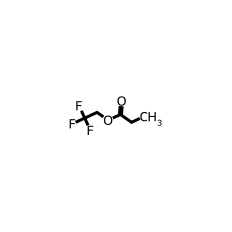 CCC(=O)OCC(F)(F)F